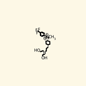 CN([C@H]1CC[C@H](CCCN(CCO)CCO)CC1)S(=O)(=O)c1ccc(C(F)(F)F)cc1